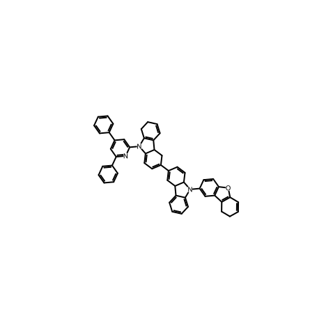 C1=CC2=C(CC1)N(c1cc(-c3ccccc3)cc(-c3ccccc3)n1)C1=CC=C(C3=CC4c5ccccc5N(c5ccc6oc7c(c6c5)CCC=C7)C4C=C3)CC12